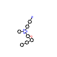 N#Cc1ccc(-c2ccc(-c3nc(-c4ccccc4)nc(-c4ccc5c(c4)oc4cccc(-c6ccc(-c7ccccc7)cc6)c45)n3)cc2)cc1